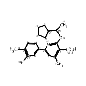 Cc1ccc(-c2cc(C(F)(F)F)c(C(=O)O)c(OC(C)C3CCCC3)n2)cc1F